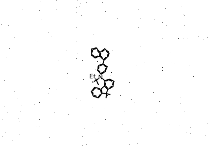 CCC(C)(C)N(c1ccc(-c2cccc3ccccc23)cc1)c1cccc2c1-c1ccccc1C2(C)C